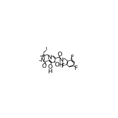 CCC[C@]1(C)Cn2cc(C(=O)NCc3c(F)cc(F)cc3F)c(=O)c(O)c2C(=O)N1C